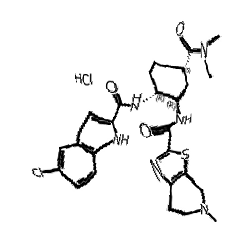 CN1CCc2nc(C(=O)N[C@@H]3C[C@@H](C(=O)N(C)C)CC[C@H]3NC(=O)c3cc4cc(Cl)ccc4[nH]3)sc2C1.Cl